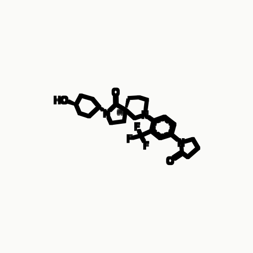 O=C1CCCN1c1ccc(N2CCC[C@@]3(CCN([C@H]4CC[C@H](O)CC4)C3=O)C2)c(C(F)(F)F)c1